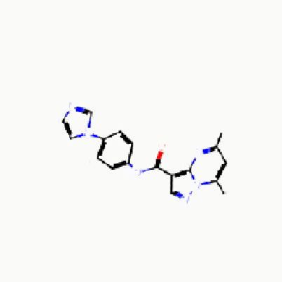 Cc1cc(C)n2ncc(C(=O)Nc3ccc(-n4ccnc4)cc3)c2n1